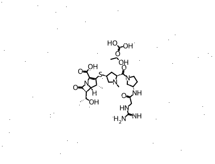 CCO.C[C@@H](O)[C@H]1C(=O)N2C(C(=O)O)=C(S[C@H]3C[C@@H](C(=O)N4CC[C@H](NC(=O)CNC(=N)N)C4)N(C)C3)[C@H](C)[C@H]12.O=C(O)O